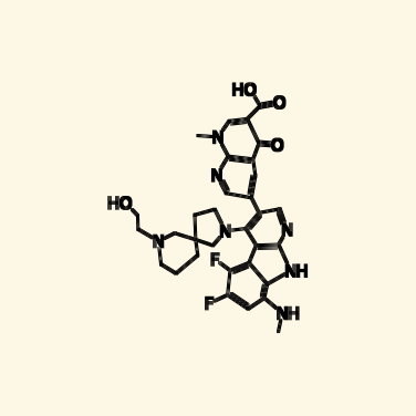 CNc1cc(F)c(F)c2c1[nH]c1ncc(-c3cnc4c(c3)c(=O)c(C(=O)O)cn4C)c(N3CCC4(CCCN(CCO)C4)C3)c12